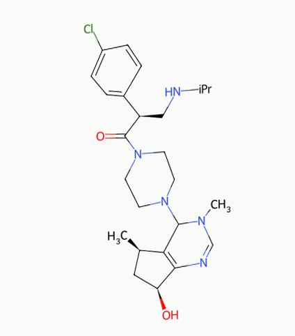 CC(C)NC[C@@H](C(=O)N1CCN(C2C3=C(N=CN2C)[C@@H](O)C[C@H]3C)CC1)c1ccc(Cl)cc1